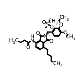 CCCCCc1ccc(NC(=O)CCC)c2c1C(=O)N([C@H](CS(C)(=O)=O)c1ccc(OC)c(OCC)c1)C2=O